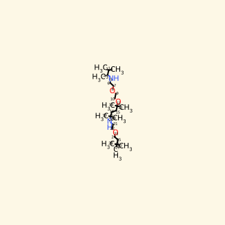 CC(C)[C@H](C)NCCOCCOC(C)(C)CCC(C)(C)NCCOCCC(C)(C)C